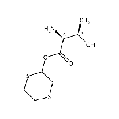 C[C@@H](O)[C@H](N)C(=O)OC1CSCCS1